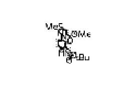 COC(=O)c1cc(SC)nn1-c1cccc(CNC(=O)OC(C)(C)C)c1